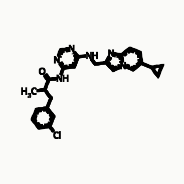 CC(Cc1cccc(Cl)c1)C(=O)Nc1cc(NCc2cn3cc(C4CC4)ccc3n2)ncn1